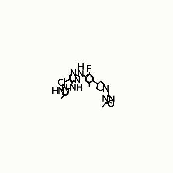 Cc1cc(Nc2nc(Nc3cc(C)c(C4CCN(Cc5noc(C)n5)CC4)cc3F)ncc2Cl)n[nH]1